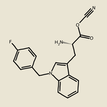 N#COC(=O)[C@@H](N)Cc1cn(Cc2ccc(F)cc2)c2ccccc12